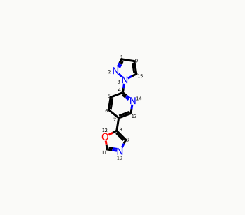 c1cnn(-c2ccc(-c3cnco3)cn2)c1